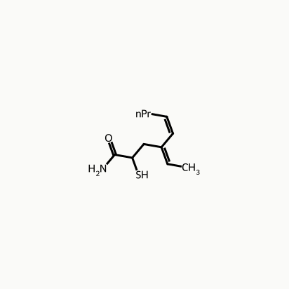 C/C=C(\C=C/CCC)CC(S)C(N)=O